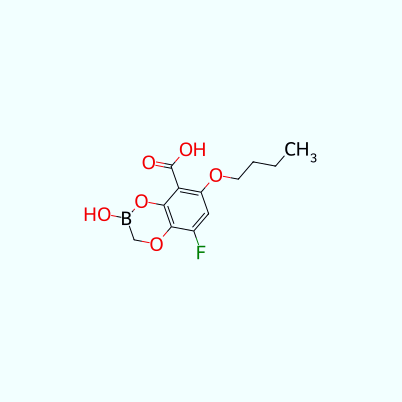 CCCCOc1cc(F)c2c(c1C(=O)O)OB(O)CO2